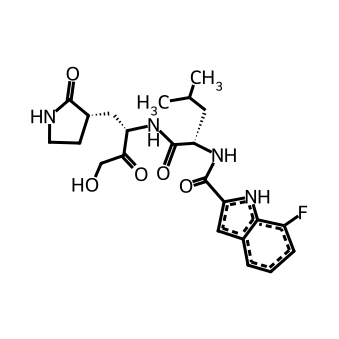 CC(C)C[C@H](NC(=O)c1cc2cccc(F)c2[nH]1)C(=O)N[C@@H](C[C@@H]1CCNC1=O)C(=O)CO